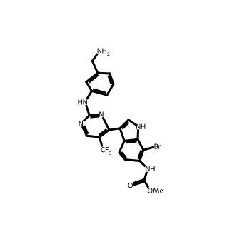 COC(=O)Nc1ccc2c(-c3nc(Nc4cccc(CN)c4)ncc3C(F)(F)F)c[nH]c2c1Br